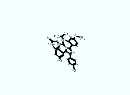 COc1ccc(C2=NC(c3ccc(Cl)cc3)C(c3cccc(Cl)c3)N2C(=O)N2CCNC(=O)C2)c(OC(C)C)c1